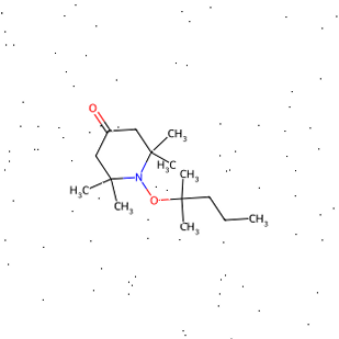 CCCC(C)(C)ON1C(C)(C)CC(=O)CC1(C)C